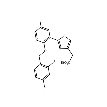 CCOC(=O)Cc1csc(-c2cc(Cl)ccc2OCc2ccc(Cl)cc2F)n1